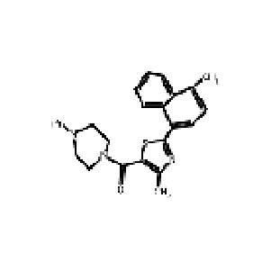 Cc1nc(-c2ccc(C)c3ccccc23)sc1C(=O)N1CCN(C(C)C)CC1